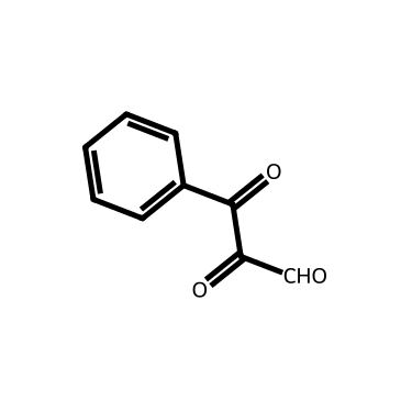 O=CC(=O)C(=O)c1ccccc1